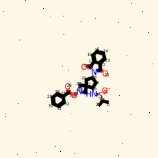 CC(C)[S@@+]([O-])N[C@@H]1C[C@@H](N2C(=O)c3ccccc3C2=O)CC12CN(OC(=O)c1ccccc1)C2